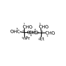 CCC(C=O)(C=O)C=O.CCCC(C=O)(C=O)C=O